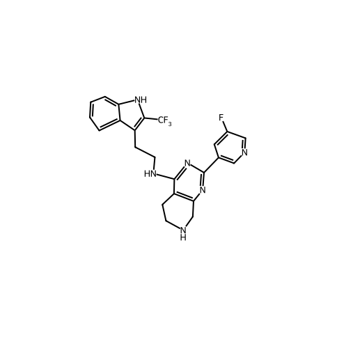 Fc1cncc(-c2nc3c(c(NCCc4c(C(F)(F)F)[nH]c5ccccc45)n2)CCNC3)c1